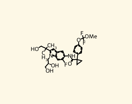 COC(F)(F)Oc1ccc(C2(C(=O)Nc3cc4cc(C(C)(C)CO)n(C[C@@H](O)CO)c4cc3F)CC2)cc1